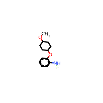 COC1CCC(Oc2ccccc2NF)CC1